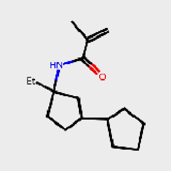 C=C(C)C(=O)NC1(CC)CCC(C2CCCC2)C1